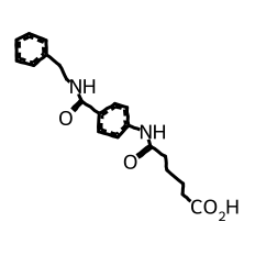 O=C(O)CCCCC(=O)Nc1ccc(C(=O)NCCc2ccccc2)cc1